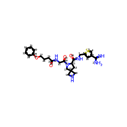 N=C(N)c1csc(CNC(=O)C2CC3(CNC3)CN2C(=O)CNC(=O)CCCOc2ccccc2)c1